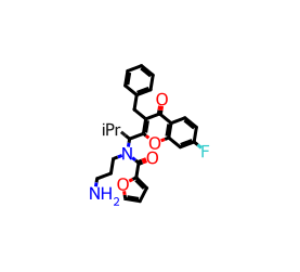 CC(C)C(c1oc2cc(F)ccc2c(=O)c1Cc1ccccc1)N(CCCN)C(=O)c1ccco1